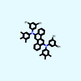 Cc1cc(N(c2cc(C(C)C)cc(C(C)C)c2)c2cc3c4ccccc4c(N(c4cc(C(C)C)cc(C(C)C)c4)c4cc(C)c(C)c(C)c4)cc3c3ccccc23)cc(C)c1C